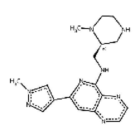 CN1CCNC[C@H]1CNc1nc(-c2cnn(C)c2)cc2nccnc12